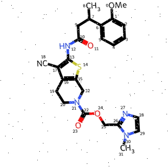 COc1ccccc1C(C)CC(=O)Nc1sc2c(c1C#N)CCN(C(=O)OCc1nccn1C)C2